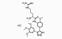 COc1ccc(-c2[nH]nnc2-c2cc(OC)c(OC)c(OC)c2)cc1NC(=O)C(N)CCCNC(=N)N.Cl